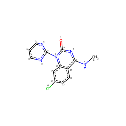 CNc1nc(=O)n(-c2ncccn2)c2cc(Cl)ccc12